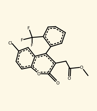 COC(=O)Cc1c(-c2ccccc2C(F)(F)F)c2cc(Cl)ccc2oc1=O